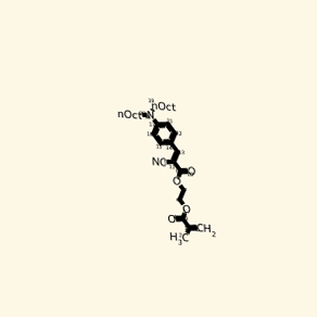 C=C(C)C(=O)OCCOC(=O)/C(C#N)=C/c1ccc(N(CCCCCCCC)CCCCCCCC)cc1